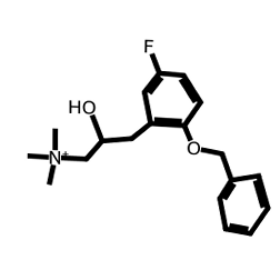 C[N+](C)(C)CC(O)Cc1cc(F)ccc1OCc1ccccc1